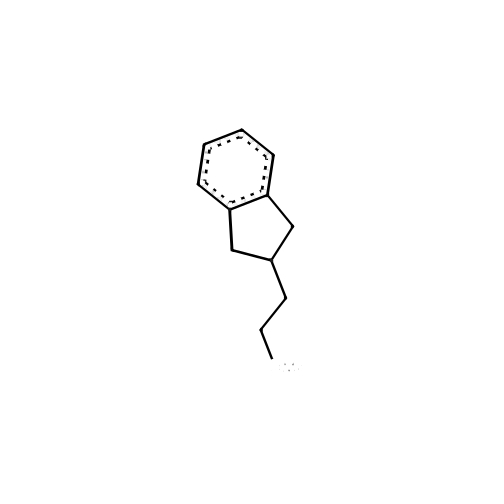 COCCC1Cc2ccccc2C1